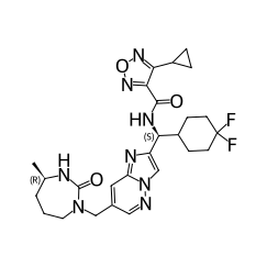 C[C@@H]1CCCN(Cc2cnn3cc([C@@H](NC(=O)c4nonc4C4CC4)C4CCC(F)(F)CC4)nc3c2)C(=O)N1